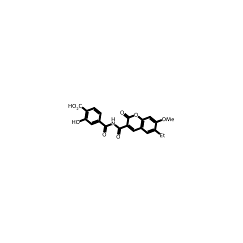 CCc1cc2cc(C(=O)NC(=O)c3ccc(C(=O)O)c(O)c3)c(=O)oc2cc1OC